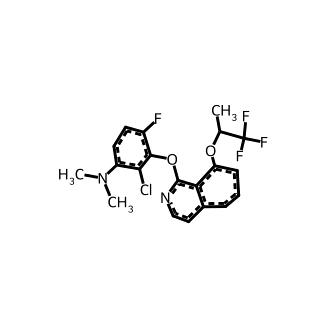 CC(Oc1cccc2ccnc(Oc3c(F)ccc(N(C)C)c3Cl)c12)C(F)(F)F